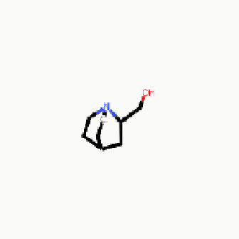 OCC1CC2CCN1CC2